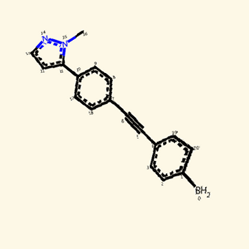 Bc1ccc(C#Cc2ccc(-c3ccnn3C)cc2)cc1